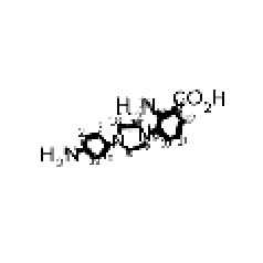 Nc1ccc(N2CCN(c3cccc(C(=O)O)c3N)CC2)cc1